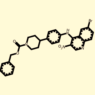 O=C(OCc1ccccc1)N1CCC(c2ccc(Nc3c([N+](=O)[O-])cnc4ccc(Br)cc34)cc2)CC1